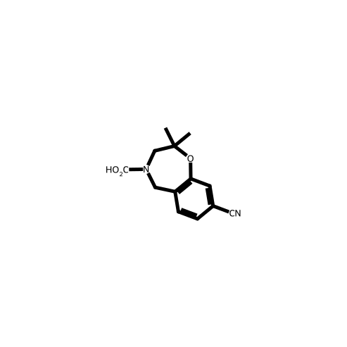 CC1(C)CN(C(=O)O)Cc2ccc(C#N)cc2O1